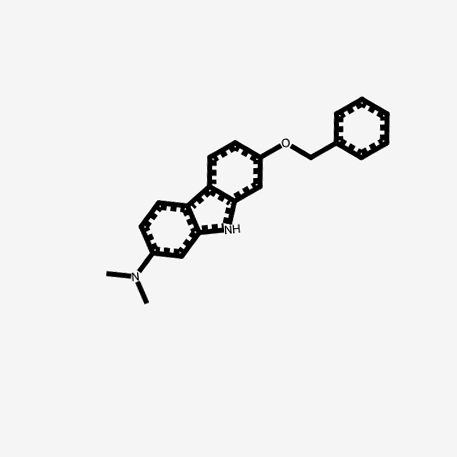 CN(C)c1ccc2c(c1)[nH]c1cc(OCc3ccccc3)ccc12